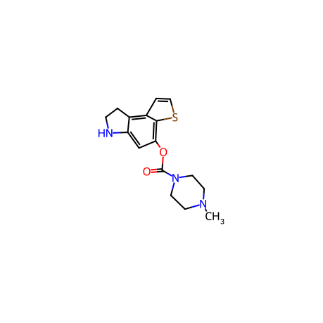 CN1CCN(C(=O)Oc2cc3c(c4ccsc24)CCN3)CC1